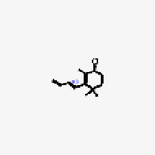 C=C/C=C/C1=C(C)C(=O)CCC1(C)C